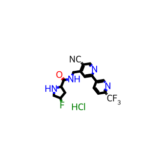 Cl.N#Cc1cnc(-c2ccc(C(F)(F)F)nc2)cc1CNC(=O)C1CC(F)CN1